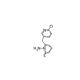 Nn1c(Cc2ccc(Cl)nc2)cccc1=S